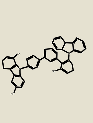 N#CC1=CCCC(N2c3ccccc3C3C=CC=CC32)=C1c1cccc(-c2ccc(-n3c4c(c5cc(C#N)ccc53)CCC=C4C#N)cc2)c1